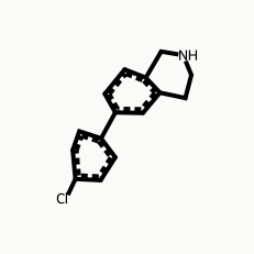 Clc1ccc(-c2ccc3c(c2)CCNC3)cc1